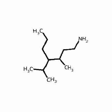 CCCC(C(C)C)C(C)CCN